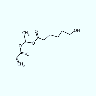 C=CC(=O)OC(C)OC(=O)CCCCCO